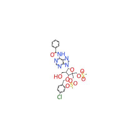 CS(=O)(=O)OCC1(COS(C)(=O)=O)O[C@@H](n2cnc3c(NC(=O)c4ccccc4)ncnc32)[C@H](CO)[C@@H]1OCc1ccc(Cl)cc1